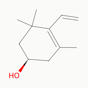 C=CC1=C(C)C[C@@H](O)CC1(C)C